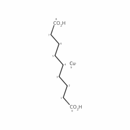 O=C(O)CCCCCCCC(=O)O.[Cu]